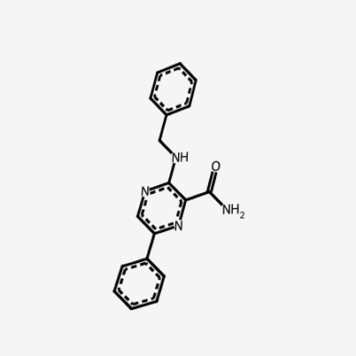 NC(=O)c1nc(-c2ccccc2)cnc1NCc1ccccc1